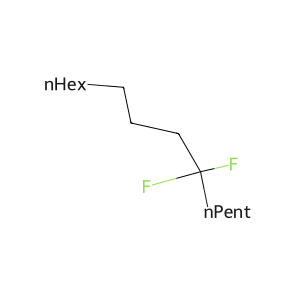 CCCCCCCCCC(F)(F)CCCCC